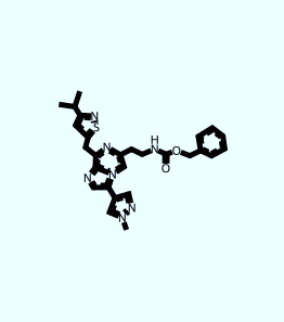 CC(C)c1cc(Cc2nc(CCNC(=O)OCc3ccccc3)cn3c(-c4cnn(C)c4)cnc23)sn1